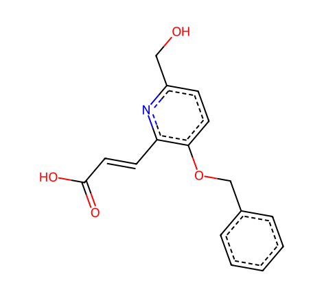 O=C(O)C=Cc1nc(CO)ccc1OCc1ccccc1